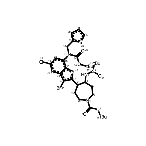 CC(C)(C)OC(=O)N1CCC(N[S+]([O-])C(C)(C)C)C(c2sc3c(N(Cc4cccs4)C(=O)OC(C)(C)C)cc(Cl)nc3c2Br)CC1